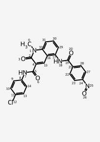 Cn1c(=O)c(C(=O)Nc2ccc(Cl)cc2)cc2c(NC(=O)c3ccc(N=O)cc3)cccc21